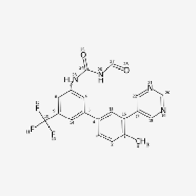 Cc1ccc(-c2cccc(C(F)(F)F)c2)cc1-c1cncnc1.NC(=O)NC=O